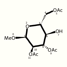 CO[C@H]1O[C@H](COC(C)=O)[C@@H](O)[C@H](OC(C)=O)[C@H]1OC(C)=O